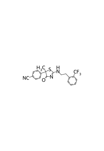 CC1(c2ccc(C#N)cc2)SC(NCCc2ccccc2C(F)(F)F)=NC1=O